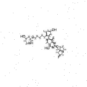 Cc1cc(O)cc(-c2ncc3c(O)nc(OC[C@@]45CCCN4C[C@H](F)C5)nc3c2F)c1CCCCCO[C@@H]1CNCC[C@H](O)C1